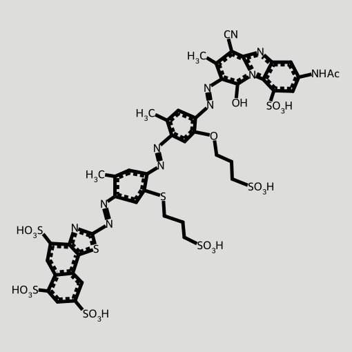 CC(=O)Nc1cc(S(=O)(=O)O)c2c(c1)nc1c(C#N)c(C)c(N=Nc3cc(C)c(N=Nc4cc(C)c(N=Nc5nc6c(S(=O)(=O)O)cc7c(S(=O)(=O)O)cc(S(=O)(=O)O)cc7c6s5)cc4SCCCS(=O)(=O)O)cc3OCCCS(=O)(=O)O)c(O)n12